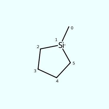 C[Si]1CCCC1